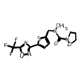 CN(Cc1ccc(-c2noc(C(F)(F)F)n2)s1)C(=O)N1CCCO1